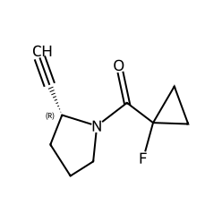 C#C[C@H]1CCCN1C(=O)C1(F)CC1